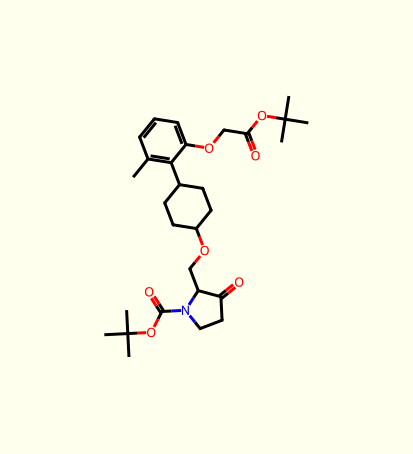 Cc1cccc(OCC(=O)OC(C)(C)C)c1C1CCC(OCC2C(=O)CCN2C(=O)OC(C)(C)C)CC1